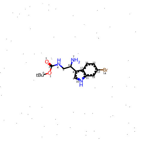 CC(C)(C)OC(=O)NCC(N)c1c[nH]c2cc(Br)ccc12